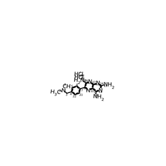 CN(C)Cc1ccc(-c2nc3c(N)nc(N)nc3nc2N)cc1.Cl.Cl